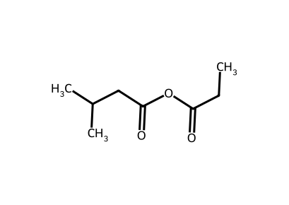 CCC(=O)OC(=O)CC(C)C